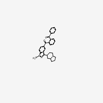 Nn1nc(C2CCN3CCCC3C2)c2cc(C(=O)c3ccccc3C(=O)c3ccccc3)ccc21